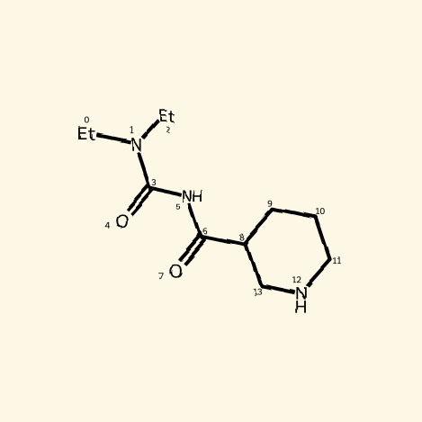 CCN(CC)C(=O)NC(=O)C1CCCNC1